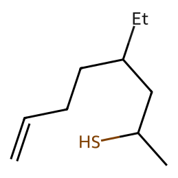 C=CCCC(CC)CC(C)S